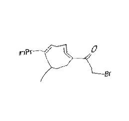 CCCC1=CC=C(C(=O)CBr)CC1C